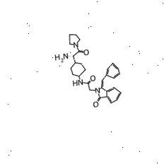 N[C@H](C(=O)N1CCCC1)C1CCC(NC(=O)CN2C(=O)c3ccccc3C2=Cc2ccccc2)CC1